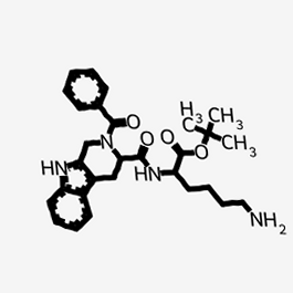 CC(C)(C)OC(=O)C(CCCCN)NC(=O)C1Cc2c([nH]c3ccccc23)CN1C(=O)c1ccccc1